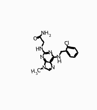 Cn1cnc2c(NCc3ccccc3Cl)nc(NCC(N)=O)nc21